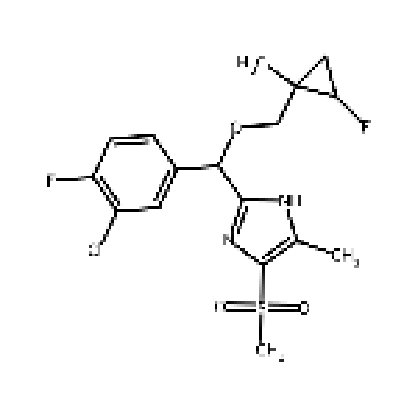 Cc1[nH]c(C(OCC2(C)CC2F)c2ccc(F)c(Cl)c2)nc1S(C)(=O)=O